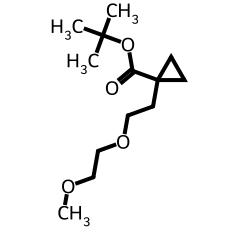 COCCOCCC1(C(=O)OC(C)(C)C)CC1